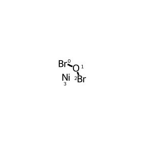 BrOBr.[Ni]